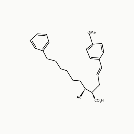 COc1ccc(/C=C/C[C@@H](C(=O)O)[C@H](CCCCCCc2ccccc2)C(C)=O)cc1